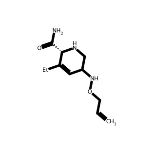 C=CCONC1C=C(CC)[C@H](C(N)=O)NC1